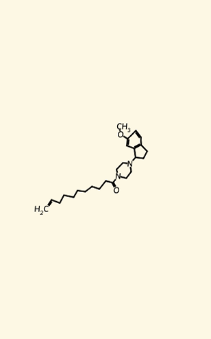 C=CCCCCCCCCC(=O)N1CCN(C2CCc3ccc(OC)cc32)CC1